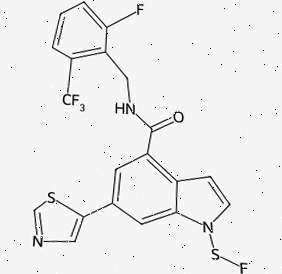 O=C(NCc1c(F)cccc1C(F)(F)F)c1cc(-c2cncs2)cc2c1ccn2SF